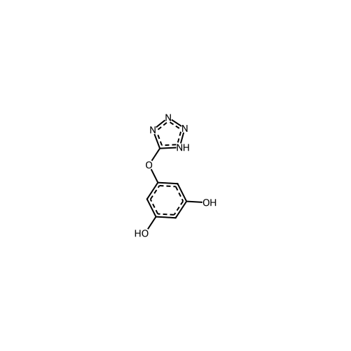 Oc1cc(O)cc(Oc2nnn[nH]2)c1